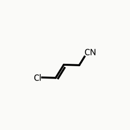 N#CCC=CCl